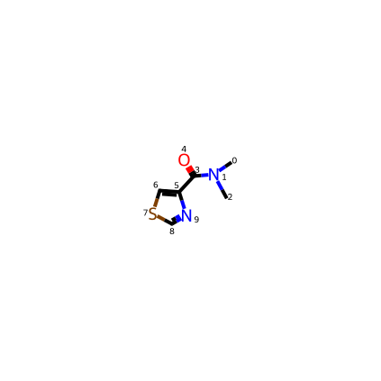 CN(C)C(=O)c1cscn1